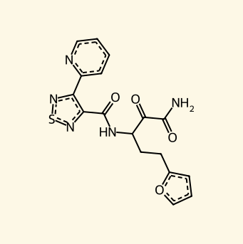 NC(=O)C(=O)C(CCc1ccco1)NC(=O)c1nsnc1-c1ccccn1